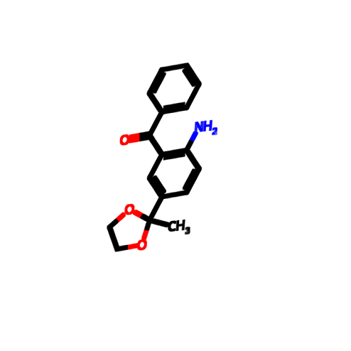 CC1(c2ccc(N)c(C(=O)c3ccccc3)c2)OCCO1